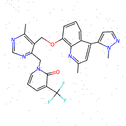 Cc1cc(-c2ccnn2C)c2cccc(OCc3c(C)ncnc3Cn3cccc(C(F)(F)F)c3=O)c2n1